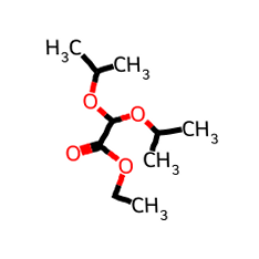 CCOC(=O)C(OC(C)C)OC(C)C